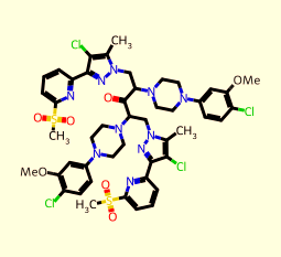 COc1cc(N2CCN(C(Cn3nc(-c4cccc(S(C)(=O)=O)n4)c(Cl)c3C)C(=O)C(Cn3nc(-c4cccc(S(C)(=O)=O)n4)c(Cl)c3C)N3CCN(c4ccc(Cl)c(OC)c4)CC3)CC2)ccc1Cl